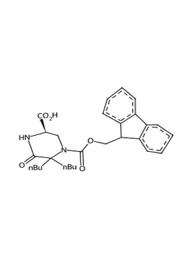 CCCCC1(CCCC)C(=O)N[C@@H](C(=O)O)CN1C(=O)OCC1c2ccccc2-c2ccccc21